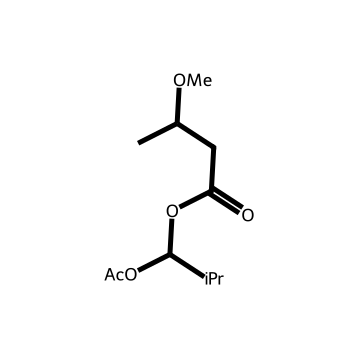 COC(C)CC(=O)OC(OC(C)=O)C(C)C